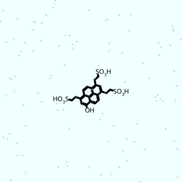 O=S(=O)(O)CCc1cc(O)c2ccc3c(CCS(=O)(=O)O)cc(CCS(=O)(=O)O)c4ccc1c2c34